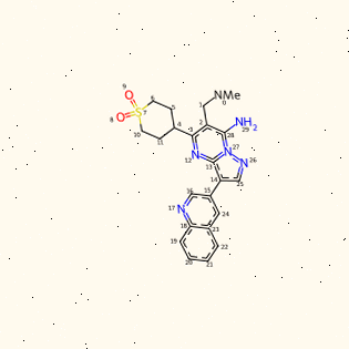 CNCc1c(C2CCS(=O)(=O)CC2)nc2c(-c3cnc4ccccc4c3)cnn2c1N